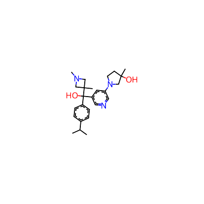 CC(C)c1ccc(C(O)(c2cncc(N3CCC(C)(O)C3)c2)C2(C)CN(C)C2)cc1